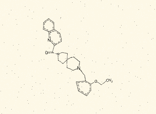 CCOc1ccccc1CN1CCC2(CC1)CCN(C(=O)c1ccc3ccccc3n1)CC2